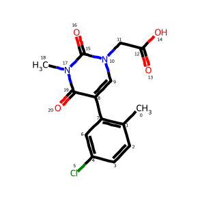 Cc1ccc(Cl)cc1-c1cn(CC(=O)O)c(=O)n(C)c1=O